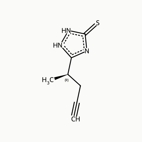 C#CC[C@@H](C)c1nc(=S)[nH][nH]1